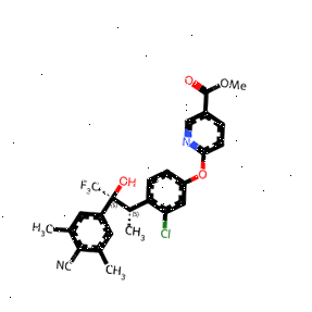 COC(=O)c1ccc(Oc2ccc([C@H](C)[C@](O)(c3cc(C)c(C#N)c(C)c3)C(F)(F)F)c(Cl)c2)nc1